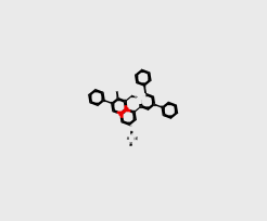 Cc1c(C[n+]2c(-c3ccccc3)cc(-c3ccccc3)cc2-c2ccccc2)cccc1-c1ccccc1.F[B-](F)(F)F